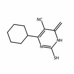 C=C1NC(S)=NC(C2CCCCC2)=C1C#N